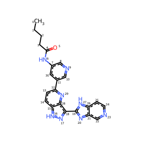 CCCCC(=O)Nc1cncc(-c2ccc3[nH]nc(-c4nc5cnccc5[nH]4)c3n2)c1